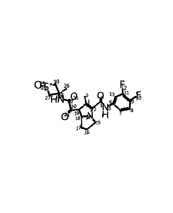 CC1=C(C(=O)Nc2ccc(F)c(F)c2)N2CCCC2C1C(=O)C(=O)N[C@]1(C)C[S@+]([O-])C1